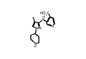 Cc1cn(C2CCNCC2)nc1Nc1cnccc1C(=O)O